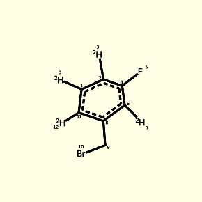 [2H]c1c([2H])c(F)c([2H])c(CBr)c1[2H]